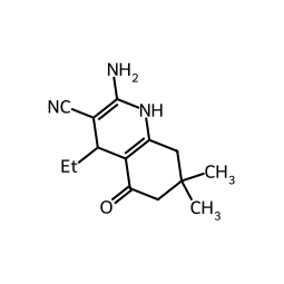 CCC1C(C#N)=C(N)NC2=C1C(=O)CC(C)(C)C2